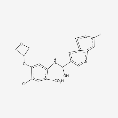 O=C(O)c1cc(Cl)c(OC2COC2)cc1NC(O)c1cnc2cc(F)ccc2c1